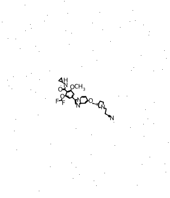 COc1cc(-c2cnc3cc(OC[C@H]4CCN(CCC#N)C4)ccn23)cc(OC(F)F)c1C(=O)NC1CC1